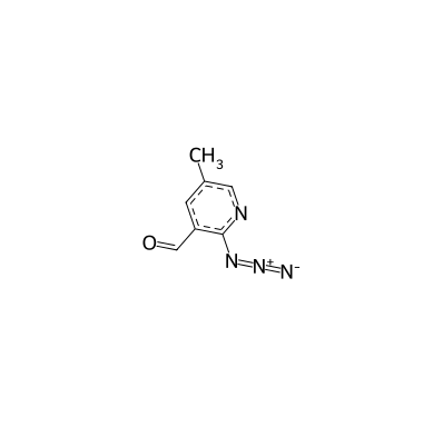 Cc1cnc(N=[N+]=[N-])c(C=O)c1